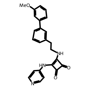 COc1cccc(-c2cccc(CCNc3c(Nc4ccncc4)c(=O)c3=O)c2)c1